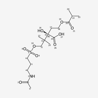 CC(=O)NCCCS(=O)(=O)OCC(C)(C)[C@](O)(CCOC(=O)C(C)C)C(=O)O